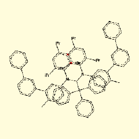 Cc1ccc(N(c2c(C(C)C)cc(C(C)C)cc2C(C)C)C(N(c2ccc(C)c(-c3cccc(-c4ccccc4)c3)c2)c2c(C(C)C)cc(C(C)C)cc2C(C)C)C(c2ccccc2)(c2ccccc2)c2ccccc2)cc1-c1cccc(-c2ccccc2)c1